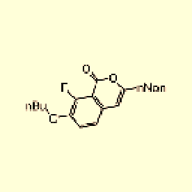 CCCCCCCCCc1cc2ccc(OCCCC)c(F)c2c(=O)o1